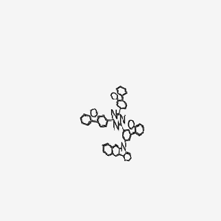 c1ccc2cc3c(cc2c1)c1ccccc1n3-c1cc(-c2nc(-c3ccc4c(c3)oc3ccccc34)nc(-c3ccc4c(c3)oc3ccccc34)n2)c2oc3ccccc3c2c1